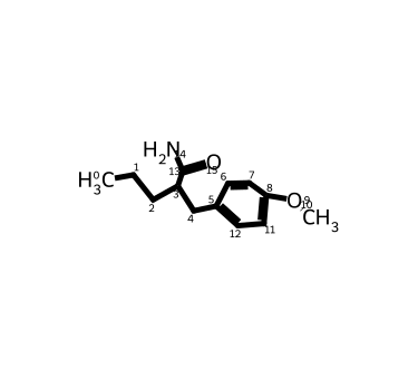 CCCC(Cc1ccc(OC)cc1)C(N)=O